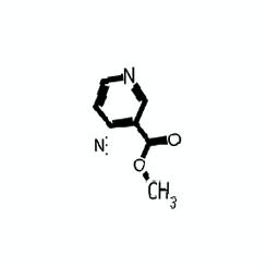 COC(=O)c1cccnc1.[N]